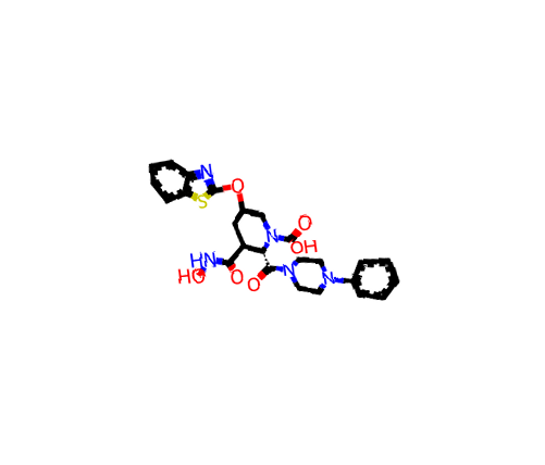 O=C(NO)C1CC(Oc2nc3ccccc3s2)CN(C(=O)O)[C@@H]1C(=O)N1CCN(c2ccccc2)CC1